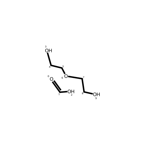 O=CO.OCCOCCO